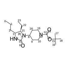 CCCC1NC(=O)N(C2CCN(C(=O)OC(C)(C)C)CC2)[C@@H]1CC